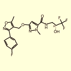 Cc1onc(-c2ccc(F)cc2)c1COc1cc(C(=O)NC[C@@H](O)C(F)(F)F)n(C)n1